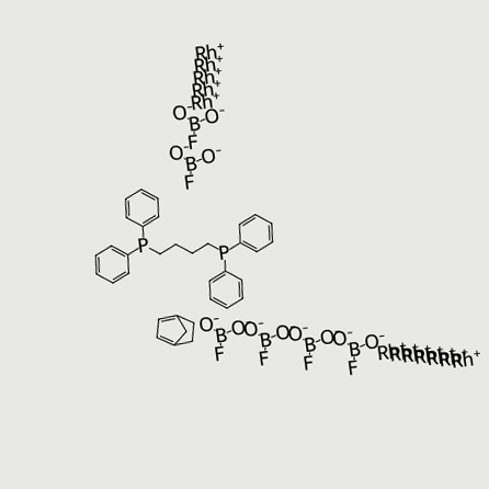 C1=C2CCC(=C1)C2.[O-]B([O-])F.[O-]B([O-])F.[O-]B([O-])F.[O-]B([O-])F.[O-]B([O-])F.[O-]B([O-])F.[Rh+].[Rh+].[Rh+].[Rh+].[Rh+].[Rh+].[Rh+].[Rh+].[Rh+].[Rh+].[Rh+].[Rh+].c1ccc(P(CCCCP(c2ccccc2)c2ccccc2)c2ccccc2)cc1